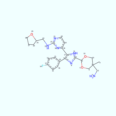 CC1(CN)COC(c2nc(-c3ccc(F)cc3)c(-c3ccnc(NCC4CCCO4)n3)[nH]2)OC1